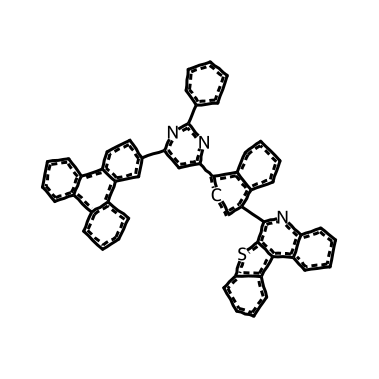 c1ccc(-c2nc(-c3ccc4c5ccccc5c5ccccc5c4c3)cc(-c3ccc(-c4nc5ccccc5c5c4sc4ccccc45)c4ccccc34)n2)cc1